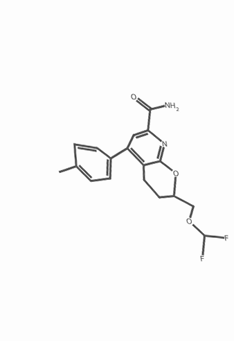 Cc1ccc(-c2cc(C(N)=O)nc3c2CCC(COC(F)F)O3)cc1